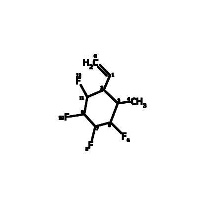 C=CC1C(C)C(F)C(F)C(F)C1F